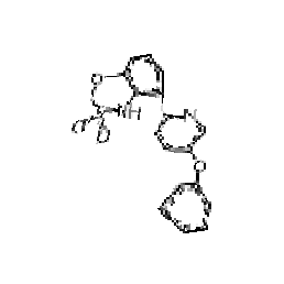 O=S1(=O)COc2cccc(-c3ccc(Oc4ccccc4)cn3)c2N1